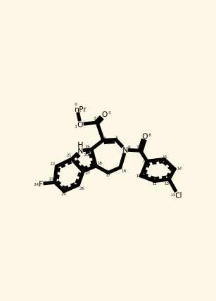 CCCOC(=O)C1=CN(C(=O)c2ccc(Cl)cc2)CCc2c1[nH]c1cc(F)ccc21